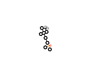 CCC1(CC)c2ccccc2-c2c3ccccc3c(-c3ccc(-c4ccc(P(=O)(c5ccccc5)c5ccccc5)cc4)cc3)c3cccc1c23